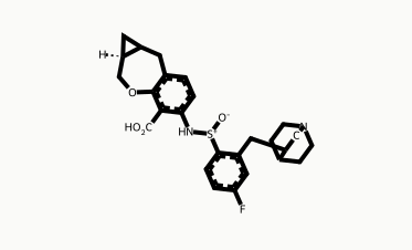 O=C(O)c1c(N[S+]([O-])c2ccc(F)cc2CC2CN3CCC2CC3)ccc2c1OC[C@H]1CC1C2